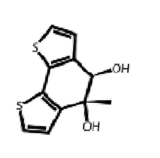 C[C@@]1(O)c2ccsc2-c2sccc2[C@H]1O